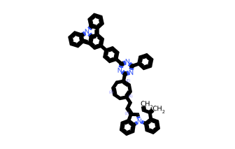 C=CC(=C)c1ccccc1N1C/C(=C\C/C2=C/C=C(/c3nc(-c4ccccc4)nc(-c4ccc(-c5cc6c7ccccc7n7c8ccccc8c(c5)c67)cc4)n3)C/C=C\C2)c2ccccc21